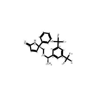 C[C@@H](OC[C@@]1(c2ccccc2)C=CC(=O)N1)c1cc(C(F)(F)F)cc(C(F)(F)F)c1